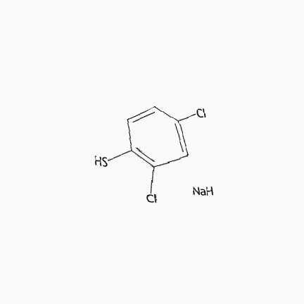 Sc1ccc(Cl)cc1Cl.[NaH]